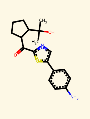 CC(C)(O)C1CCCC1C(=O)c1ncc(-c2ccc(N)cc2)s1